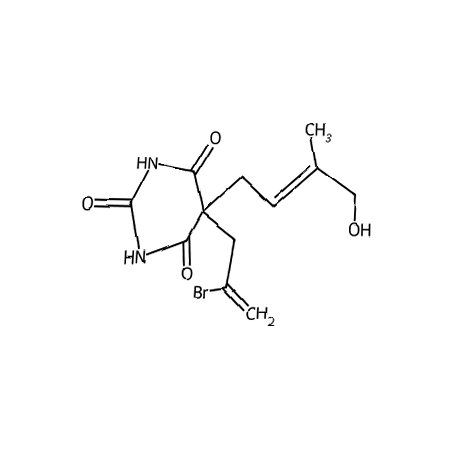 C=C(Br)CC1(C/C=C(\C)CO)C(=O)NC(=O)NC1=O